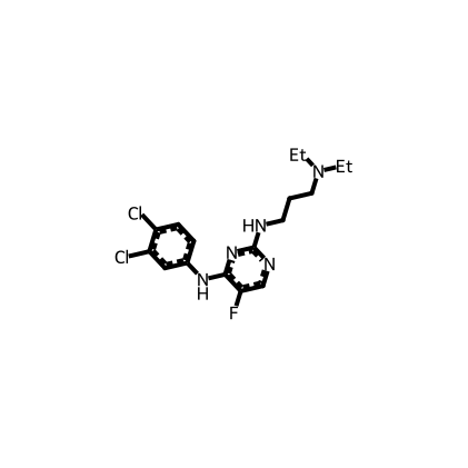 CCN(CC)CCCNc1ncc(F)c(Nc2ccc(Cl)c(Cl)c2)n1